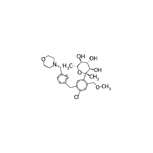 COCc1cc(Cl)c(Cc2ccc(CN3CCOCC3)s2)cc1[C@]1(C)O[C@H](C)[C@@H](O)[C@H](O)[C@H]1O